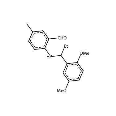 CCC(Pc1ccc(C)cc1C=O)c1cc(OC)ccc1OC